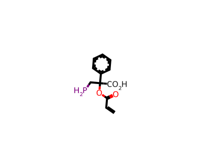 C=CC(=O)OC(CP)(C(=O)O)c1ccccc1